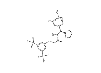 CN(CCc1cc(C(F)(F)F)cc(C(F)(F)F)c1)C(=O)C(c1ccc(F)c(F)c1)N1CCCC1